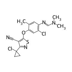 Cc1cc(N=CN(C)C)c(Cl)cc1Oc1snc(C2(Cl)CC2)c1C#N